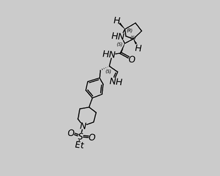 CCS(=O)(=O)N1CCC(c2ccc(C[C@@H](C=N)NC(=O)[C@H]3N[C@@H]4CC[C@H]3C4)cc2)CC1